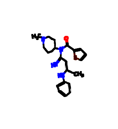 C/C(=C/C(=N)N(C(=O)c1cccs1)C1CCN(C)CC1)Nc1ccccc1